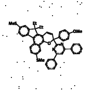 CCC1(CC)c2cc(SC)ccc2-c2c1c1c(c3cc(SC)ccc23)OC(c2ccc(OC)cc2)(c2nc(-c3ccccc3)cc(-c3ccccc3)n2)C=C1